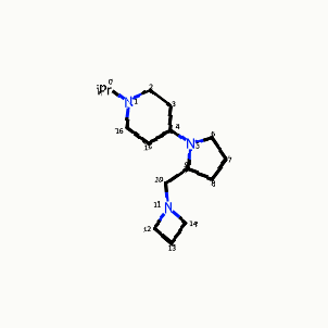 CC(C)N1CCC(N2CCCC2CN2CCC2)CC1